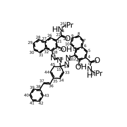 CC(C)NC(=O)c1cc2ccccc2c(N=NC2(N=Nc3c(O)c(C(=O)NC(C)C)cc4ccccc34)C=CC(C=Cc3ccccc3)=CC2)c1O